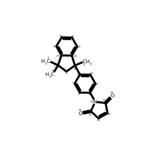 CC1(C)CC(C)(c2ccc(N3C(=O)C=CC3=O)cc2)c2ccccc21